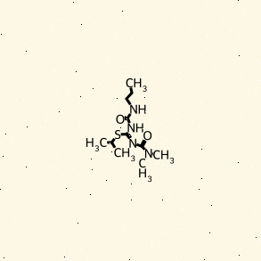 CCCNC(=O)NC(=NC(=O)N(C)C)SC(C)C